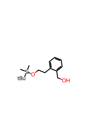 CC(C)(C)[Si](C)(C)OCCc1ccccc1CO